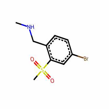 CNCc1ccc(Br)cc1S(C)(=O)=O